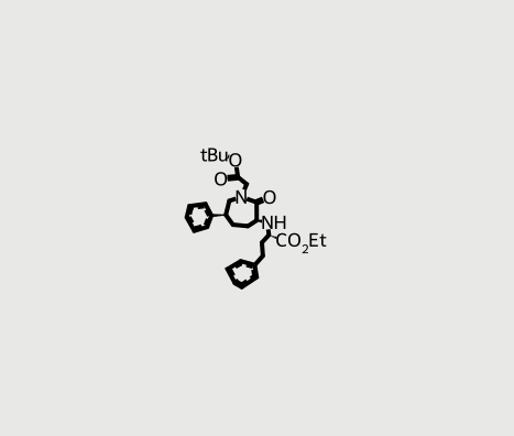 CCOC(=O)[C@H](CCc1ccccc1)N[C@H]1CC[C@@H](c2ccccc2)CN(CC(=O)OC(C)(C)C)C1=O